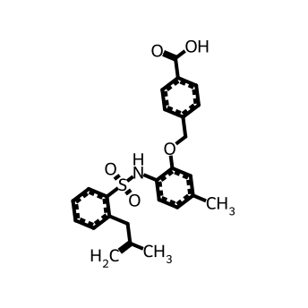 C=C(C)Cc1ccccc1S(=O)(=O)Nc1ccc(C)cc1OCc1ccc(C(=O)O)cc1